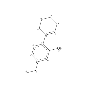 CCc1ccc(C2=CCCCC2)c(O)c1